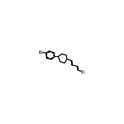 CCC=CC=CC1CCC(c2ccc(CC)cc2)CC1